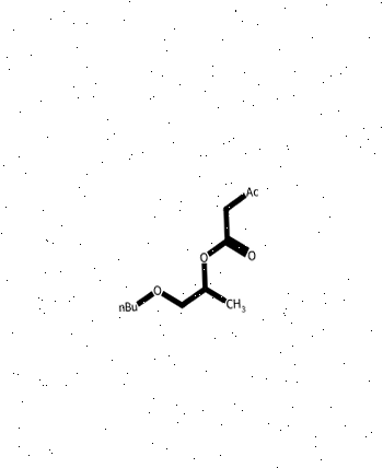 CCCCOCC(C)OC(=O)CC(C)=O